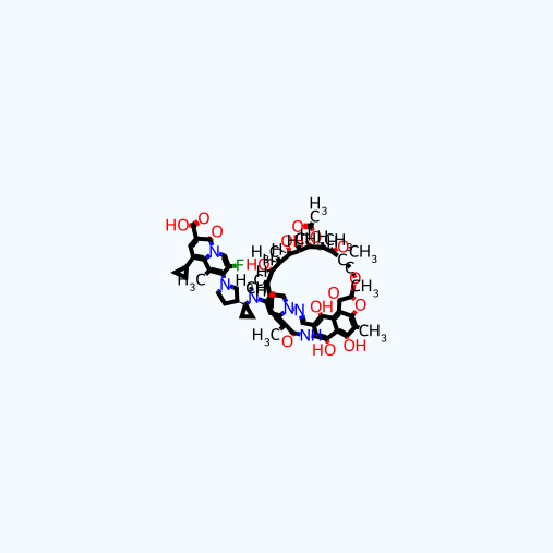 CO[C@H]1CCO[C@@]2(C)Oc3c(C)c(O)c4c(O)c(c(/C=N/N5CCC(N(C)C6([C@@H]7CCN(c8c(F)cn9c(=O)c(C(=O)O)cc(C%10CC%10)c9c8C)C7)CC6)CC5)c(O)c4c3C2=O)NC(=O)/C(C)=C\C=C\[C@H](C)[C@H](O)[C@@H](C)[C@@H](O)[C@@H](C)[C@H](OC(C)=O)[C@@H]1C